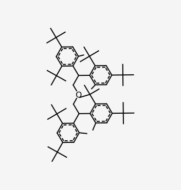 Cc1cc(C(C)(C)C)cc(C(C)(C)C)c1C(COCC(c1c(C)cc(C(C)(C)C)cc1C(C)(C)C)c1c(C)cc(C(C)(C)C)cc1C(C)(C)C)c1c(C)cc(C(C)(C)C)cc1C(C)(C)C